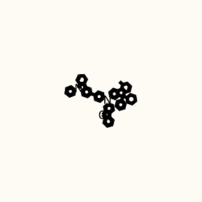 CC1CC=CC2=C1c1ccc(N(c3ccc(-c4ccc5c(c4)c4c(n5-c5ccccc5)C=CCC4)cc3)c3ccc4c(c3)oc3ccccc34)cc1C2(c1ccccc1)C1CCCCC1